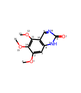 COc1cc2[nH]c(=O)ncc2c(OC)c1OC